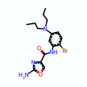 CCCN(CCC)c1ccc(Br)c(NC(=O)c2coc(N)n2)c1